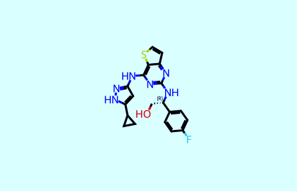 OC[C@H](Nc1nc(Nc2cc(C3CC3)[nH]n2)c2sccc2n1)c1ccc(F)cc1